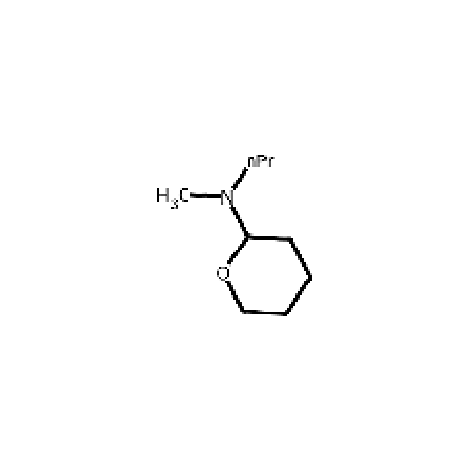 CCCN(C)[C]1CCCCO1